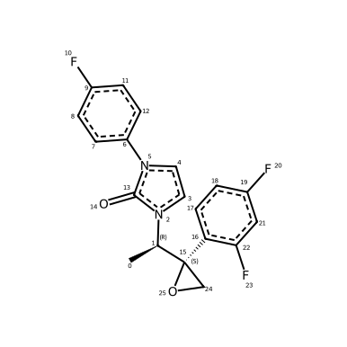 C[C@@H](n1ccn(-c2ccc(F)cc2)c1=O)[C@@]1(c2ccc(F)cc2F)CO1